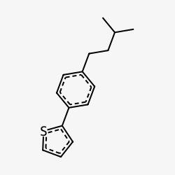 CC(C)CCc1ccc(-c2cccs2)cc1